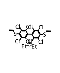 C=CSc1c(Cl)c(Cl)c(-c2c(Cl)c(Cl)c(SC=C)c(Cl)c2Cl)c(Cl)c1Cl.CCOCC